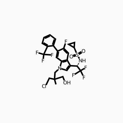 CC(CO)(CCl)Cn1cc([C@H](NS(=O)(=O)C2CC2)C(F)(F)F)c2cc(F)c(-c3ccccc3C(F)(F)F)cc21